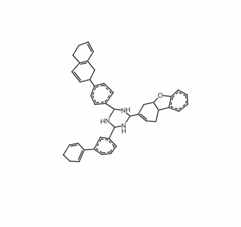 C1=CC(c2cccc(C3NC(C4=CCC5c6ccccc6OC5C4)NC(c4ccc(C5C=CC6=C(C=CCC6)C5)cc4)N3)c2)=CCC1